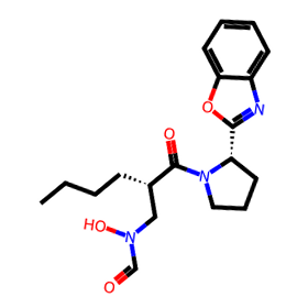 CCCC[C@@H](CN(O)C=O)C(=O)N1CCC[C@H]1c1nc2ccccc2o1